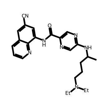 CCN(CC)CCCC(C)Nc1cnc(C(=O)Nc2cc(C#N)cc3cccnc23)cn1